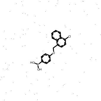 OB(O)c1ccc(OCc2ccc(Cl)c3ccccc23)cc1